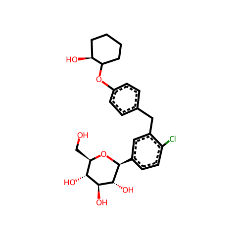 OC[C@H]1O[C@@H](c2ccc(Cl)c(Cc3ccc(OC4CCCC[C@@H]4O)cc3)c2)[C@H](O)[C@@H](O)[C@@H]1O